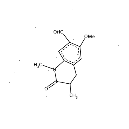 COc1cc2c(cc1C=O)N(C)C(=O)C(C)C2